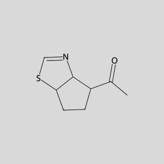 CC(=O)C1CCC2SC=NC21